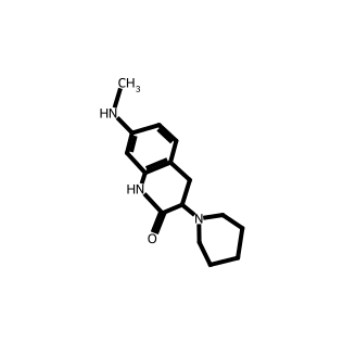 CNc1ccc2c(c1)NC(=O)C(N1CCCCC1)C2